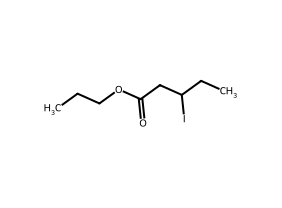 CCCOC(=O)CC(I)CC